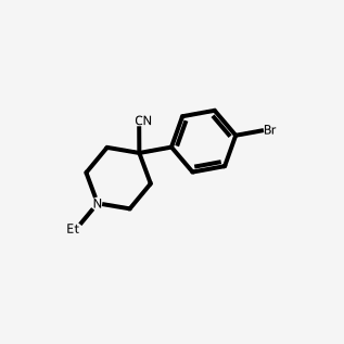 CCN1CCC(C#N)(c2ccc(Br)cc2)CC1